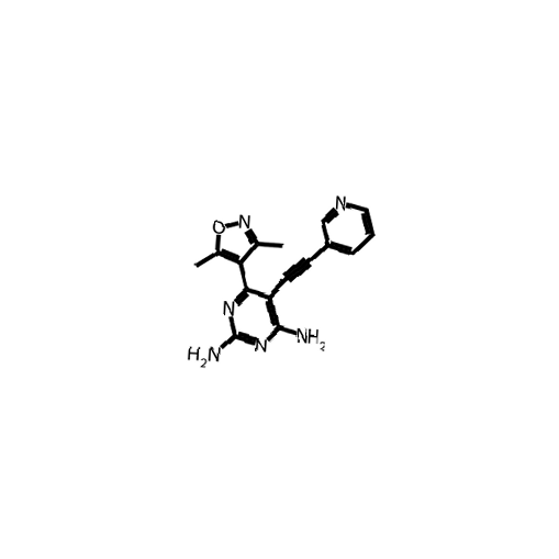 Cc1noc(C)c1-c1nc(N)nc(N)c1C#Cc1cccnc1